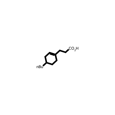 CCCCC1CC=C(CCC(=O)O)CC1